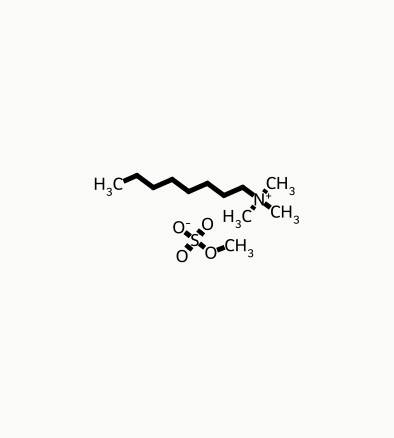 CCCCCCCC[N+](C)(C)C.COS(=O)(=O)[O-]